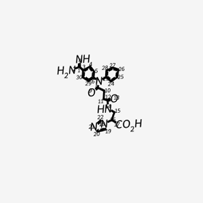 N=C(N)c1ccc(N(C(=O)CCC(=O)NCC(C(=O)O)n2ccnc2)c2ccccc2)cc1